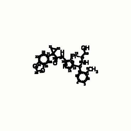 Cc1ccccc1C(N[C@@H](CO)C(C)C)c1cnc(NC(=O)C2(c3ccc4c(c3)OCO4)CC2)s1